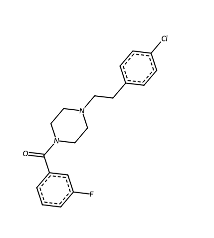 O=C(c1cccc(F)c1)N1CCN(CCc2ccc(Cl)cc2)CC1